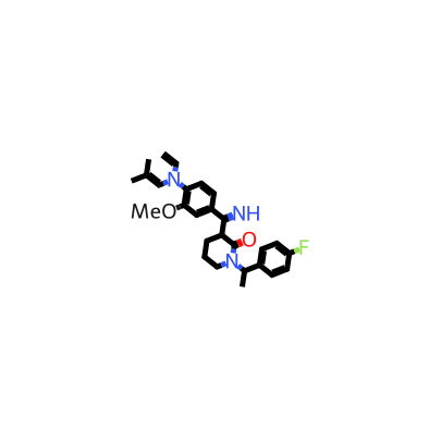 C=CN(C=C(C)C)c1ccc(C(=N)C2CCCN(C(C)c3ccc(F)cc3)C2=O)cc1OC